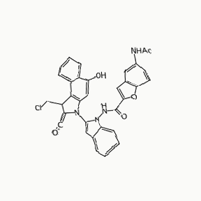 CC(=O)Nc1ccc2oc(C(=O)Nn3c(N4C(=C=O)C(CCl)c5c4cc(O)c4ccccc54)cc4ccccc43)cc2c1